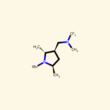 C[C@@H]1C[C@H](CN(C)C(F)(F)F)[C@@H](C)N1C(C)(C)C